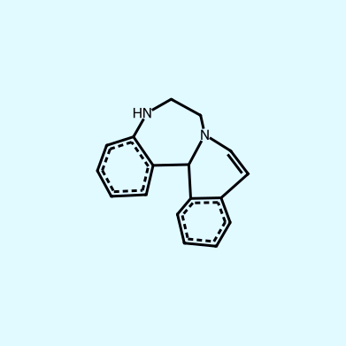 C1=CN2CCNc3ccccc3C2c2ccccc21